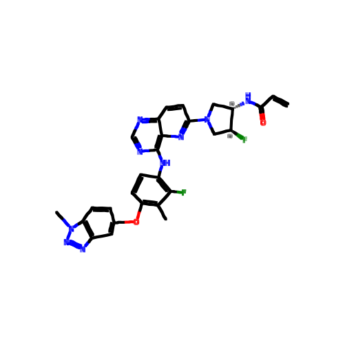 C=CC(=O)N[C@H]1CN(c2ccc3ncnc(Nc4ccc(Oc5ccc6c(c5)nnn6C)c(C)c4F)c3n2)C[C@@H]1F